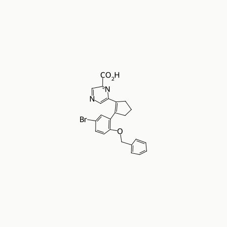 O=C(O)c1cncc(C2=C(c3cc(Br)ccc3OCc3ccccc3)CCC2)n1